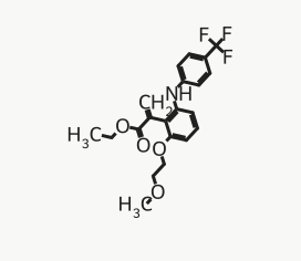 C=C(C(=O)OCC)c1c(Nc2ccc(C(F)(F)F)cc2)cccc1OCCOC